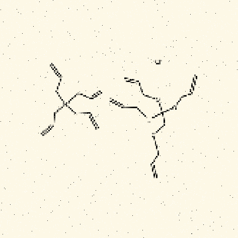 C=CCOCC(OCC=C)(OCC=C)OCC=C.C=CC[N+](CC=C)(CC=C)CC=C.[Cl-]